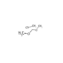 CCl.COCOC